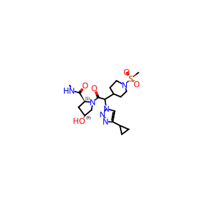 CNC(=O)[C@@H]1C[C@@H](O)CN1C(=O)C(C1CCN(S(C)(=O)=O)CC1)n1cc(C2CC2)nn1